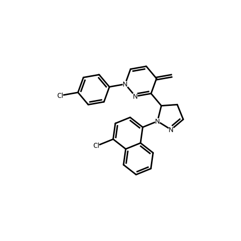 C=C1C=CN(c2ccc(Cl)cc2)N=C1C1CC=NN1c1ccc(Cl)c2ccccc12